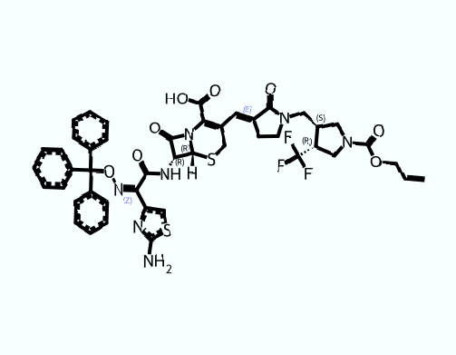 C=CCOC(=O)N1C[C@H](CN2CC/C(=C\C3=C(C(=O)O)N4C(=O)[C@@H](NC(=O)/C(=N\OC(c5ccccc5)(c5ccccc5)c5ccccc5)c5csc(N)n5)[C@H]4SC3)C2=O)[C@@H](C(F)(F)F)C1